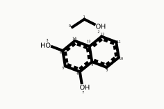 CCO.Oc1cc(O)c2ccccc2c1